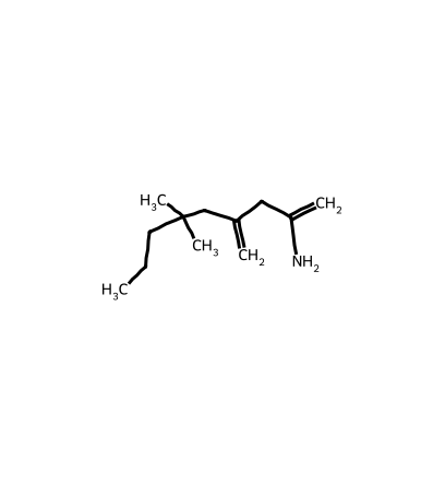 C=C(N)CC(=C)CC(C)(C)CCC